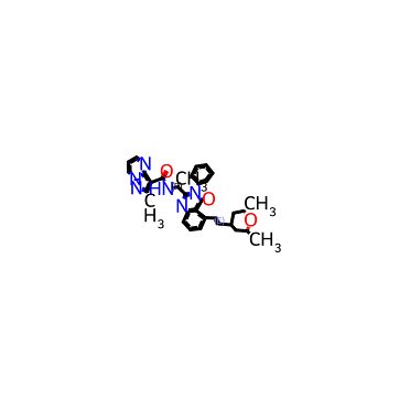 Cc1nn2cccnc2c1C(=O)N[C@H](C)c1nc2cccc(/C=C/C3CC(C)OC(C)C3)c2c(=O)n1-c1ccccc1